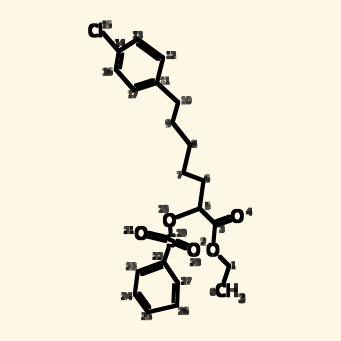 CCOC(=O)C(CCCCCc1ccc(Cl)cc1)OS(=O)(=O)c1ccccc1